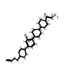 C=CCCC1CCC(c2ccc(C3CCC(C4CCC(/C(F)=C/C(F)(F)F)CC4)CC3)c(F)c2)CC1